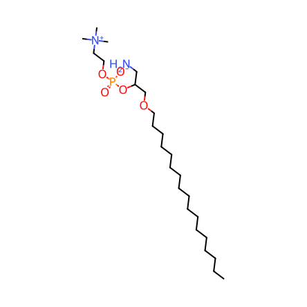 CCCCCCCCCCCCCCCCCOCC(CN)OP(=O)([O-])OCC[N+](C)(C)C